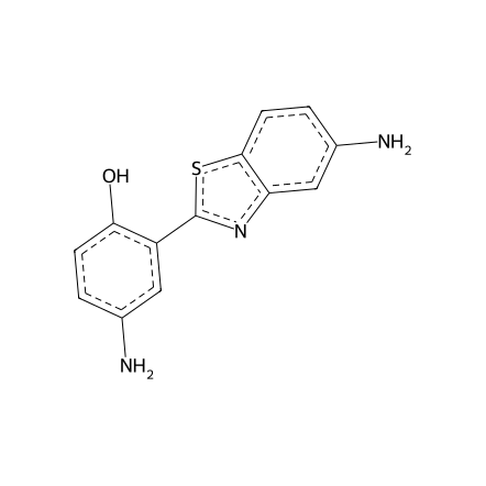 Nc1ccc(O)c(-c2nc3cc(N)ccc3s2)c1